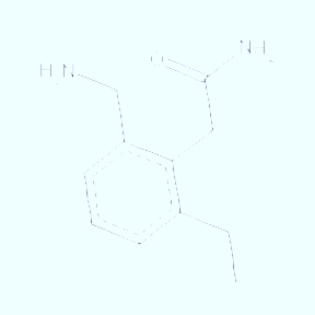 CCc1cccc(CN)c1CC(N)=O